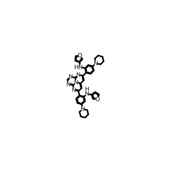 C1=NC2=NC(c3ccc(N4CCCCC4)cc3Nc3ccoc3)=CC3=CC(c4ccc(N5CCCCC5)cc4Nc4ccoc4)=NC(=N1)N32